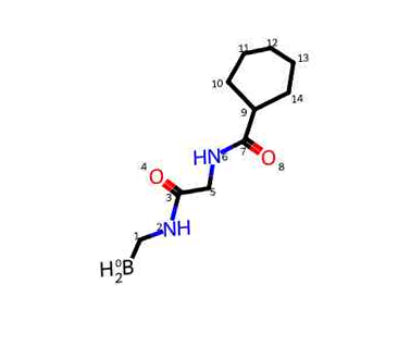 BCNC(=O)CNC(=O)C1CCCCC1